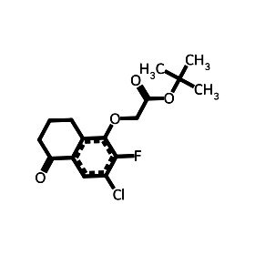 CC(C)(C)OC(=O)COc1c(F)c(Cl)cc2c1CCCC2=O